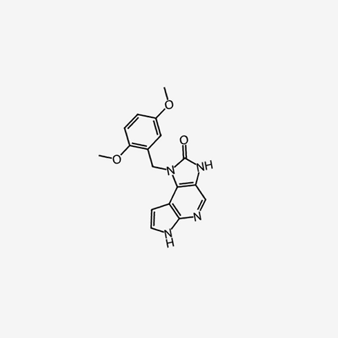 COc1ccc(OC)c(Cn2c(=O)[nH]c3cnc4[nH]ccc4c32)c1